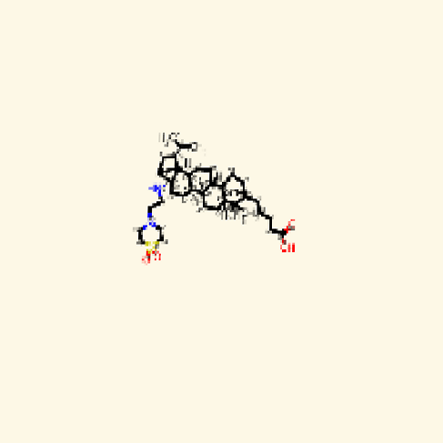 CC(C)[C@@H]1CC[C@]2(NCCN3CCS(=O)(=O)CC3)CC[C@]3(C)[C@H](CC[C@@H]4[C@@]5(C)CCC(CCCCC(=O)O)C(C)(C)[C@@H]5CC[C@]43C)[C@@H]12